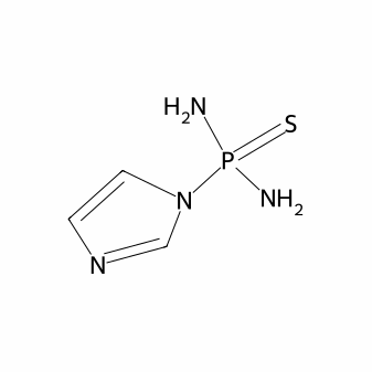 NP(N)(=S)n1ccnc1